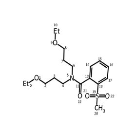 CCOCCCN(CCCOCC)C(=O)c1ccccc1S(C)(=O)=O